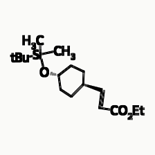 CCOC(=O)/C=C/[C@H]1CC[C@H](O[Si](C)(C)C(C)(C)C)CC1